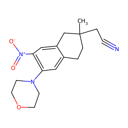 CC1(CC#N)CCc2cc(N3CCOCC3)c([N+](=O)[O-])cc2C1